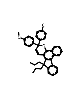 CCCC1(CCC)c2ccccc2-c2c1c1c(c3ccccc23)OC(c2ccc(Cl)cc2)(c2ccc(OC)cc2)C=C1